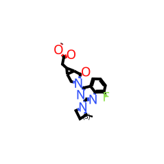 COC(=O)CC1C2CN(c3nc(N4CC[C@@H]4C)nc4c(F)cccc34)C(=O)C12